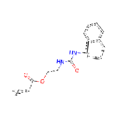 C=CC(=O)OCCNC(=O)Nc1cccc2ccccc12